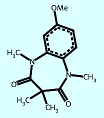 COc1ccc2c(c1)N(C)C(=O)C(C)(C)C(=O)N2C